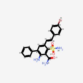 NC(=O)c1c(N)c(-c2ccccc2)cc(/C=C/c2ccc(Br)cc2)c1S(N)(=O)=O